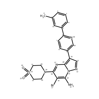 Cc1cccc(-c2ccc(-c3cnn4c(N)c(Br)c(N5CCS(=O)(=O)CC5)nc34)cn2)c1